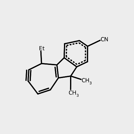 CCC1C#CC=CC2=C1c1ccc(C#N)cc1C2(C)C